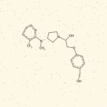 CN(c1ncccc1C(F)(F)F)[C@@H]1CCN(C(O)COc2ccc(CO)cc2)C1